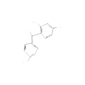 [CH2]Oc1ccc(C(N)c2ccc(OC)cc2OC)cc1